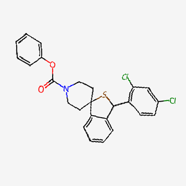 O=C(Oc1ccccc1)N1CCC2(CC1)SC(c1ccc(Cl)cc1Cl)c1ccccc12